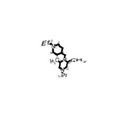 CCN1CCC(CN2C(C)CN(C(C)C)CC2C)CC1